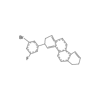 Fc1cc(Br)cc(C2C=c3c(ccc4c5c(ccc34)CCC=C5)=CC2)c1